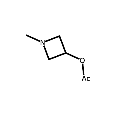 CC(=O)OC1CN(C)C1